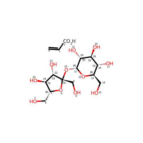 C=CC(=O)O.OC[C@H]1O[C@@](CO)(O[C@H]2O[C@H](CO)[C@@H](O)[C@H](O)[C@H]2O)[C@@H](O)[C@@H]1O